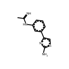 CC(=N)Nc1cccc(-c2csc(N)n2)c1